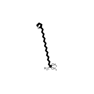 CC(C)(C)CCCCCCCCCCCCCCCCc1cccs1